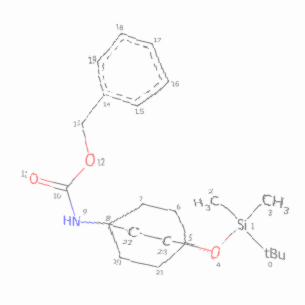 CC(C)(C)[Si](C)(C)OC12CCC(NC(=O)OCc3ccccc3)(CC1)CC2